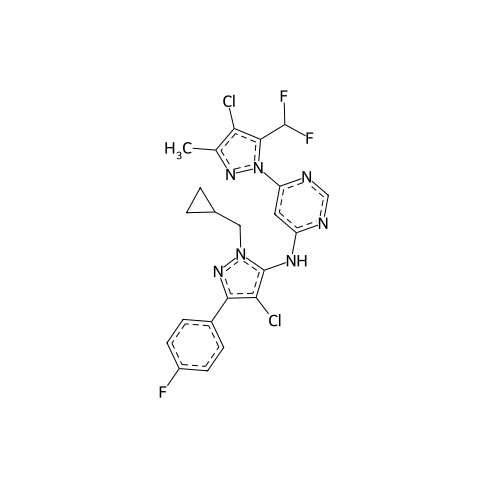 Cc1nn(-c2cc(Nc3c(Cl)c(-c4ccc(F)cc4)nn3CC3CC3)ncn2)c(C(F)F)c1Cl